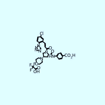 O=C(O)C(F)(F)F.O=C(O)c1ccc(NC(=O)[C@@H]2C[C@H](N3CCOCC3)CN2C(=O)C=Cc2cc(Cl)ccc2-n2cnnn2)cc1